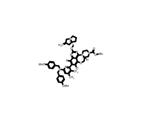 C=C1CN2CCC[C@@]2(COc2nc3c4c(c(Cl)c(-c5nc(N(Cc6ccc(OC)cc6)Cc6ccc(OC)cc6)cc(C)c5C(F)(F)F)c(F)c4n2)OC[C@H]2CN(C(=O)OC(C)(C)C)CCN32)C1